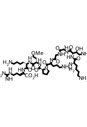 COCC[C@H](NC(=O)[C@@H]1CCCN1C(=O)/C(CCCN)=N/C(=O)CNC(=O)[C@H](C)NC(=O)[C@@H](NC(=O)[C@@H](N)CCCCN)[C@@H](O)CN)C(=O)N[C@@H](CCCCN)C(=O)N/C(=C\CCNC(=N)N)C(=O)O